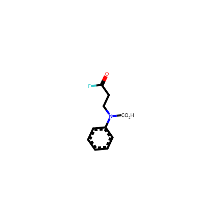 O=C(F)CCN(C(=O)O)c1ccccc1